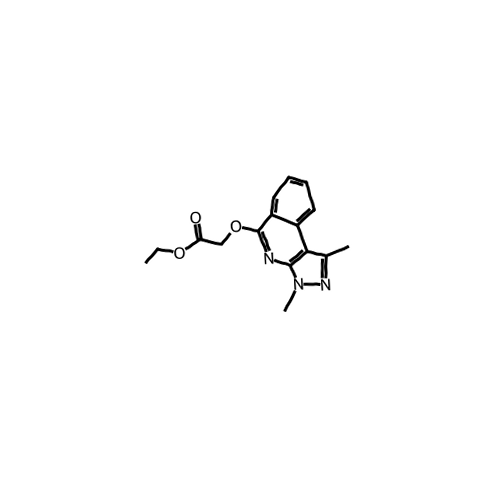 CCOC(=O)COc1nc2c(c(C)nn2C)c2ccccc12